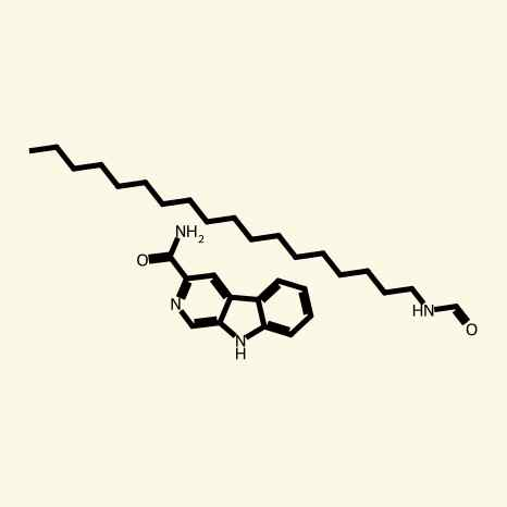 CCCCCCCCCCCCCCCCCCNC=O.NC(=O)c1cc2c(cn1)[nH]c1ccccc12